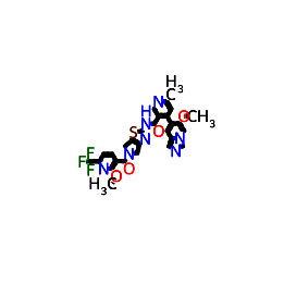 COc1cn2cncc2cc1-c1cc(C)ncc1C(=O)Nc1nc2c(s1)CN(C(=O)c1ccc(C(F)(F)F)nc1OC)C2